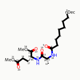 CCCCCCCCCCCCCCCCCC(=O)N[C@H](C)C(=O)N[C@H](CCC(=O)OC)C(=O)OC